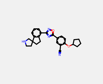 N#Cc1cc(-c2nc(-c3cccc4c3CCC43CCNC3)no2)ccc1OC1CCCC1